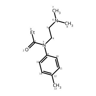 CCC(=O)N(CCN(C)C)c1ccc(C)cc1